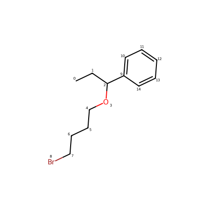 CCC(OCCCCBr)c1ccccc1